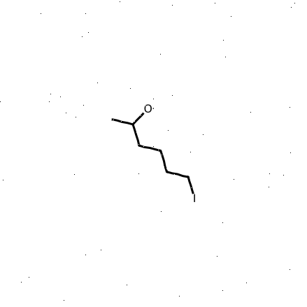 CC([O])CCCCI